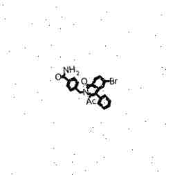 CC(=O)c1c(-c2ccccc2)c2cc(Br)ccc2c(=O)n1Cc1ccc(C(N)=O)cc1